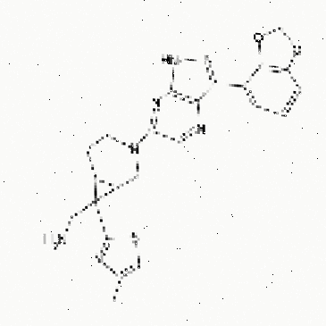 Cc1csc(C2(CN)C3CCN(c4cnc5c(-c6cccc7c6OCO7)n[nH]c5n4)CC32)n1